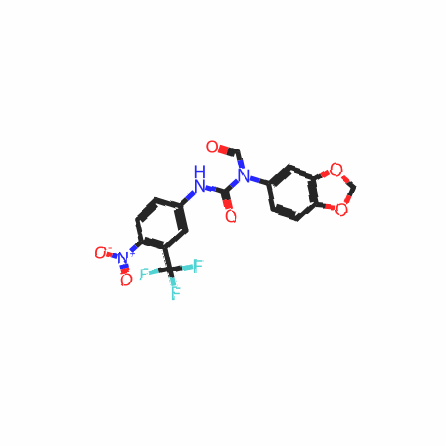 O=CN(C(=O)Nc1ccc([N+](=O)[O-])c(C(F)(F)F)c1)c1ccc2c(c1)OCO2